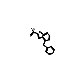 O=C(O)c1cc2c(Cc3ccccc3)cccc2[nH]1